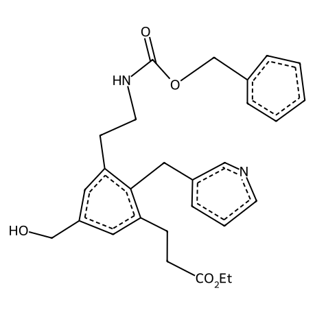 CCOC(=O)CCc1cc(CO)cc(CCNC(=O)OCc2ccccc2)c1Cc1cccnc1